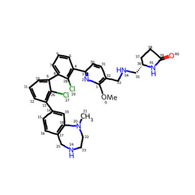 COc1nc(-c2cccc(-c3cccc(-c4ccc5c(c4)N(C)CCNC5)c3Cl)c2Cl)ccc1CNC[C@@H]1CCC(=O)N1